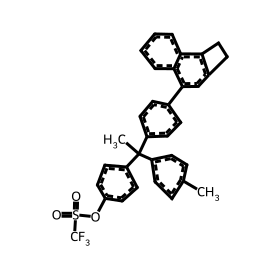 Cc1ccc(C(C)(c2ccc(OS(=O)(=O)C(F)(F)F)cc2)c2ccc(-c3cc4c(c5ccccc35)CC4)cc2)cc1